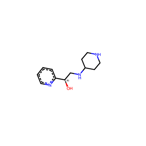 O[C@H](CNC1CCNCC1)c1ccccn1